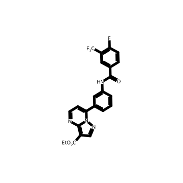 CCOC(=O)c1cnn2c(-c3cccc(NC(=O)c4ccc(F)c(C(F)(F)F)c4)c3)ccnc12